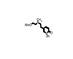 COCCN(C)CCc1ccc(=O)n(C(C)C)c1